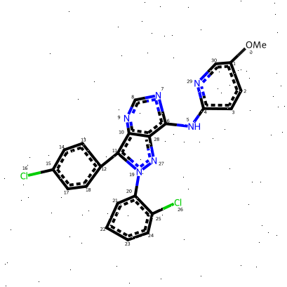 COc1ccc(Nc2ncnc3c(-c4ccc(Cl)cc4)n(-c4ccccc4Cl)nc23)nc1